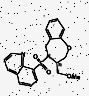 COC[C@@H]1COc2ccccc2CN1S(=O)(=O)c1cccc2cccnc12